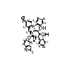 Nc1cccc(CN2C(=O)N(Cc3cccc(C=O)c3)[C@H](Cc3ccccc3)[C@H](O)[C@@H](O)C2c2ccccc2)c1